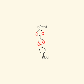 CCCCC[C@H]1CO[C@H]([C@H]2CO[C@H]([C@H]3CC[C@H](CCCC)CC3)OC2)OC1